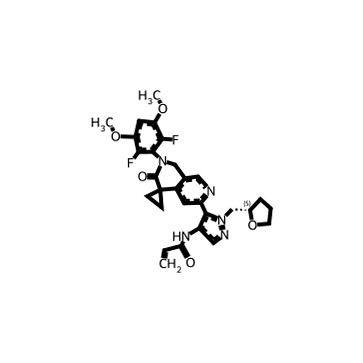 C=CC(=O)Nc1cnn(C[C@@H]2CCCO2)c1-c1cc2c(cn1)CN(c1c(F)c(OC)cc(OC)c1F)C(=O)C21CC1